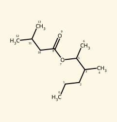 CCCC(C)C(C)OC(=O)CC(C)C